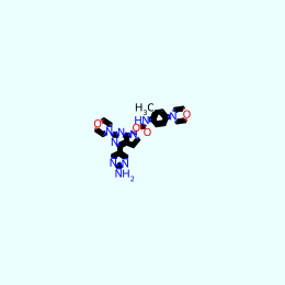 Cc1cc(N2CCOCC2)ccc1NC(=O)ON1CCc2c(-c3cnc(N)nc3)nc(N3CCOCC3)nc21